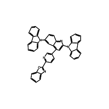 c1ccc2oc(-c3ccc(-c4cc(-n5c6ccccc6c6ccccc65)nc5ccc(-n6c7ccccc7c7ccccc76)cc45)cn3)nc2c1